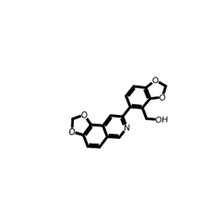 OCc1c(-c2cc3c4c(ccc3cn2)OCO4)ccc2c1OCO2